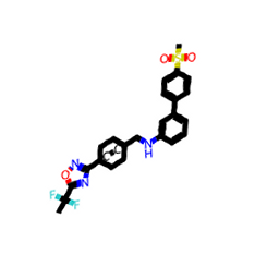 CC(F)(F)c1nc(C23CCC(CNc4cccc(-c5ccc(S(C)(=O)=O)cc5)c4)(CC2)CC3)no1